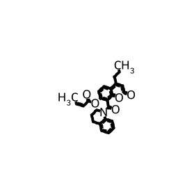 C/C=C\C(=O)Oc1ccc2c(CCC)cc(=O)oc2c1C(=O)N1CCCc2ccccc21